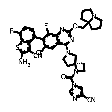 N#Cc1cn(C(=O)N2CC[C@@]23CCN(c2nc(OCC45CCCN4CCC5)nc4c(F)c(-c5ccc(F)c6sc(N)c(C#N)c56)c(Cl)cc24)C3)cn1